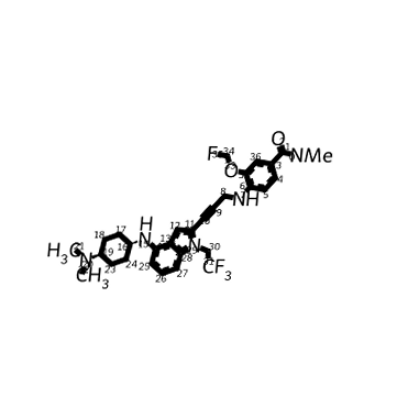 CNC(=O)c1ccc(NCC#Cc2cc3c(N[C@H]4CC[C@H](N(C)C)CC4)cccc3n2CC(F)(F)F)c(OCF)c1